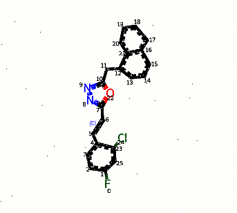 Fc1ccc(/C=C/c2nnc(Cc3cccc4ccccc34)o2)c(Cl)c1